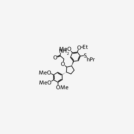 CCCSc1cc([C@H]2CC[C@H](c3cc(OC)c(OC)c(OC)c3)C2OCC(N)=O)cc(OC)c1OCC